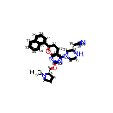 CN1CCC[C@H]1COc1nc2c(c(N3CCN[C@@H](CC#N)C3)n1)CCC(c1cccc3ccccc13)O2